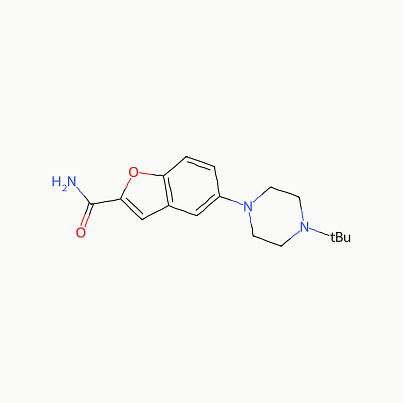 CC(C)(C)N1CCN(c2ccc3oc(C(N)=O)cc3c2)CC1